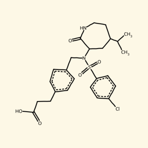 CC(C)C1CCNC(=O)C(N(Cc2ccc(CCC(=O)O)cc2)S(=O)(=O)c2ccc(Cl)cc2)C1